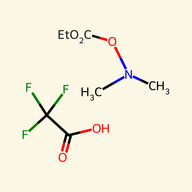 CCOC(=O)ON(C)C.O=C(O)C(F)(F)F